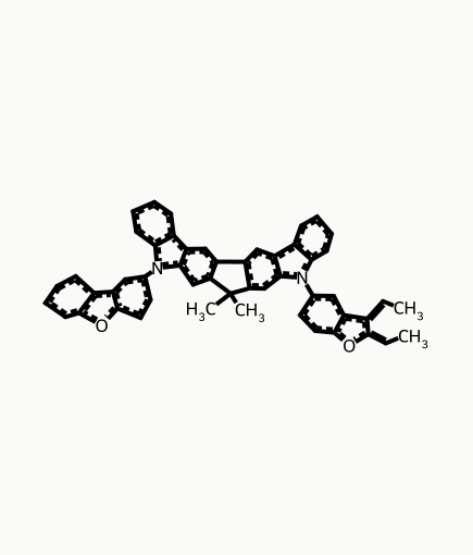 C/C=c1\c(=C/C)oc2ccc(-n3c4ccccc4c4cc5c(cc43)C(C)(C)c3cc4c(cc3-5)c3ccccc3n4-c3ccc4oc5ccccc5c4c3)cc12